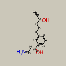 C#CC(O)CCCc1cccc(C(O)CCN)c1